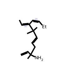 C=CC(C)(N)CC=CC(C)(C)C(/C=C\CC)=C/C